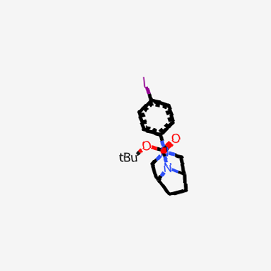 CC(C)(C)OC(=O)N1C2CCC1CN(c1ccc(I)cc1)C2